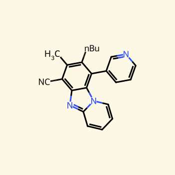 CCCCc1c(C)c(C#N)c2nc3ccccn3c2c1-c1cccnc1